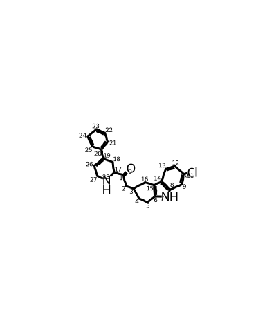 O=C(CC1CCc2[nH]c3cc(Cl)ccc3c2C1)C1CC(c2ccccc2)=CCN1